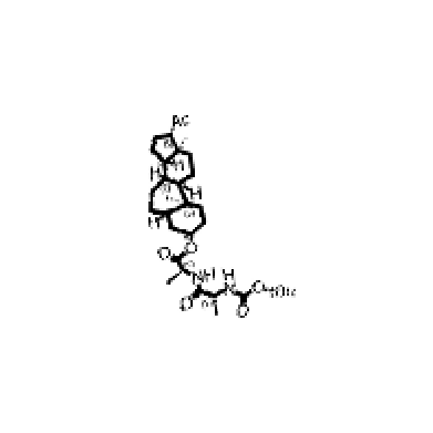 CC(=O)[C@H]1CC[C@H]2[C@@H]3CC[C@H]4C[C@H](OC(=O)[C@H](C)NC(=O)[C@H](C)NC(=O)OC(C)(C)C)CC[C@]4(C)[C@H]3CC[C@]12C